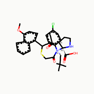 COc1ccc(C2SCC(=O)[N@+](CC(C)(C)C)([C@]3(C(=O)O)NCC[C@H]3C(C)=O)c3ccc(Cl)cc32)c2ccccc12